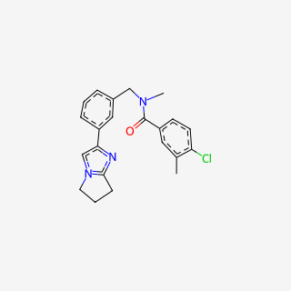 Cc1cc(C(=O)N(C)Cc2cccc(-c3cn4c(n3)CCC4)c2)ccc1Cl